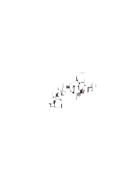 O=C(Nc1ccc(C(=O)N2CCC(F)(F)C(O)(CO)c3cc(Cl)ccc32)cn1)c1cccc(F)c1Cl